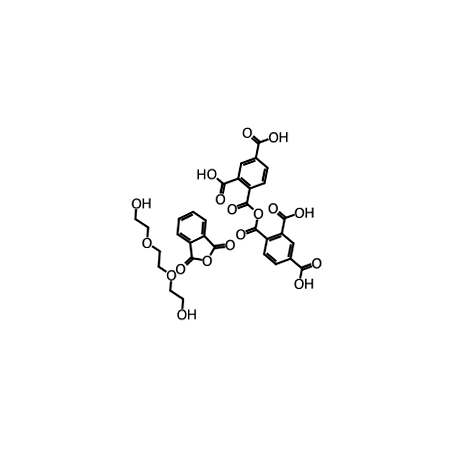 O=C(O)c1ccc(C(=O)OC(=O)c2ccc(C(=O)O)cc2C(=O)O)c(C(=O)O)c1.O=C1OC(=O)c2ccccc21.OCCOCCOCCO